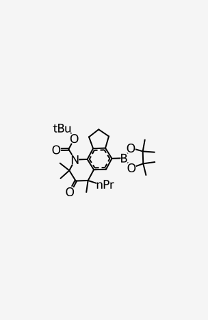 CCCC1(C)C(=O)C(C)(C)N(C(=O)OC(C)(C)C)c2c1cc(B1OC(C)(C)C(C)(C)O1)c1c2CCC1